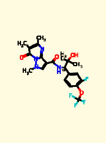 Cc1nc2c(C(=O)N[C@@H](c3ccc(OC(F)(F)F)c(F)c3)C(C)(C)O)cn(C)n2c(=O)c1C